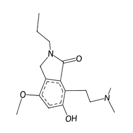 CCCN1Cc2c(OC)cc(O)c(CCN(C)C)c2C1=O